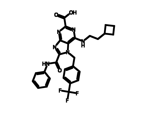 O=C(O)c1nc(NCCC2CCC2)c2c(n1)nc(C(=O)Nc1ccccc1)n2Cc1ccc(C(F)(F)F)cc1